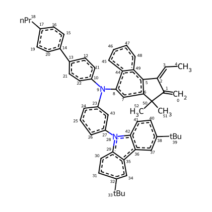 C=C1/C(=C\C)c2c(cc(N(c3ccc(-c4ccc(CCC)cc4)cc3)c3cccc(-n4c5ccc(C(C)(C)C)cc5c5cc(C(C)(C)C)ccc54)c3)c3ccccc23)C1(C)C